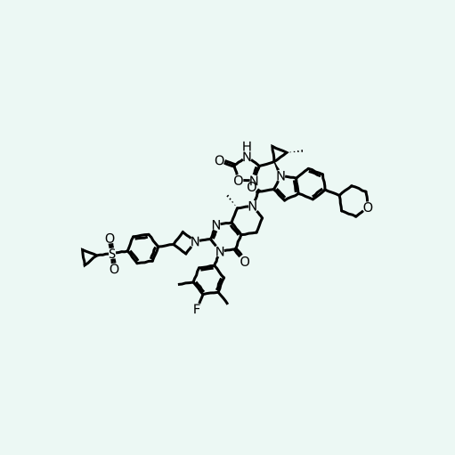 Cc1cc(-n2c(N3CC(c4ccc(S(=O)(=O)C5CC5)cc4)C3)nc3c(c2=O)CCN(C(=O)c2cc4cc(C5CCOCC5)ccc4n2[C@@]2(c4noc(=O)[nH]4)C[C@@H]2C)[C@H]3C)cc(C)c1F